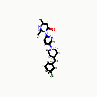 Cc1cc(=O)n(-c2ccc(N3CCC(Cc4cccc(F)c4)CC3)cn2)c(C)n1